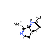 CCc1ccc2ccnc(OC)c2n1